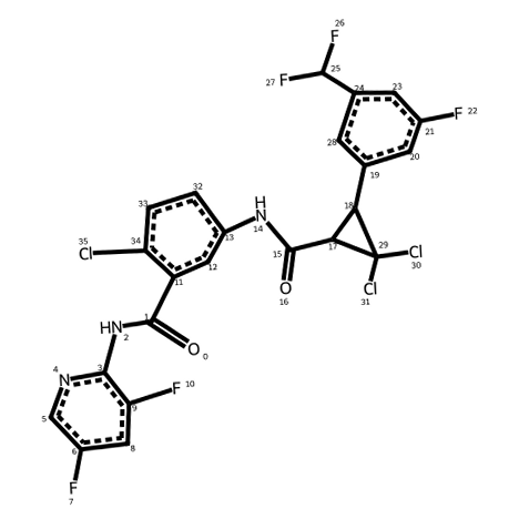 O=C(Nc1ncc(F)cc1F)c1cc(NC(=O)C2C(c3cc(F)cc(C(F)F)c3)C2(Cl)Cl)ccc1Cl